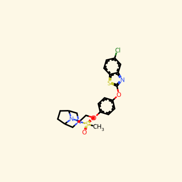 CS(=O)(=O)N1CC2CCC(C1)N2CCOc1ccc(Oc2nc3cc(Cl)ccc3s2)cc1